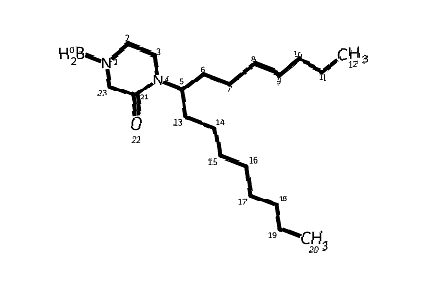 BN1CCN(C(CCCCCCC)CCCCCCCC)C(=O)C1